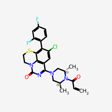 C=CC(=O)N1[C@@H](C)CN(c2nc(=O)n3c4c(c(-c5ccc(F)cc5F)c(Cl)cc24)SCC3)C[C@@H]1C